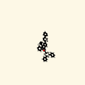 c1ccc(-c2ccc(-c3ccc4c(c3)C3(c5ccccc5Oc5ccccc53)c3ccc(-c5nc(-c6ccccc6)nc(-c6ccccc6)n5)cc3-4)nn2)cc1